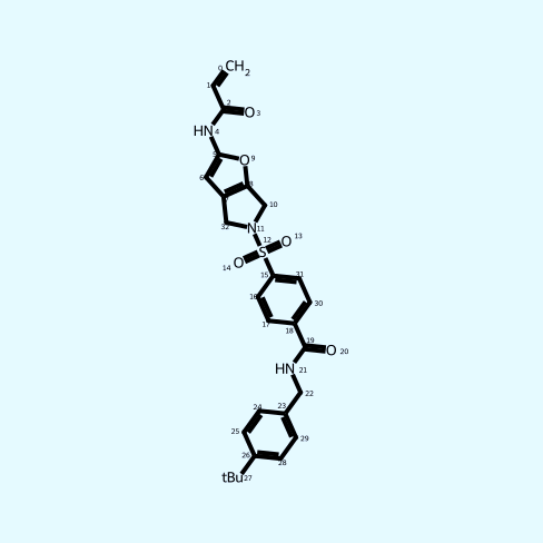 C=CC(=O)Nc1cc2c(o1)CN(S(=O)(=O)c1ccc(C(=O)NCc3ccc(C(C)(C)C)cc3)cc1)C2